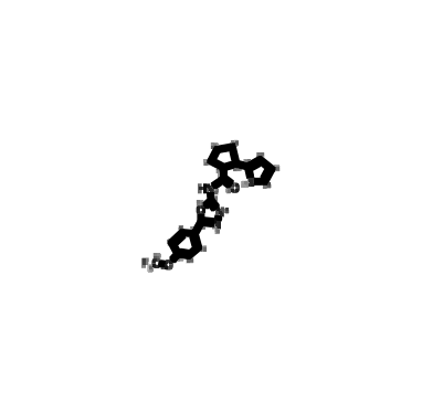 O=C(Nc1nnc(-c2ccc(OC(F)(F)F)cc2)o1)C1CCCC1c1cccs1